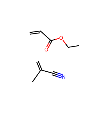 C=C(C)C#N.C=CC(=O)OCC